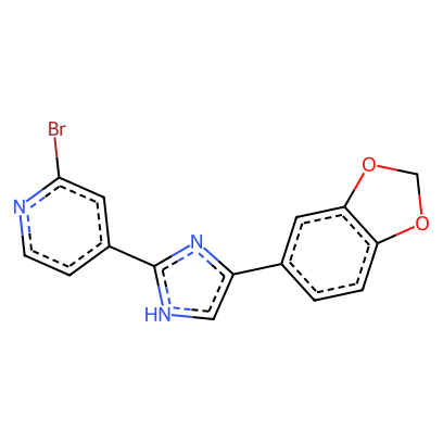 Brc1cc(-c2nc(-c3ccc4c(c3)OCO4)c[nH]2)ccn1